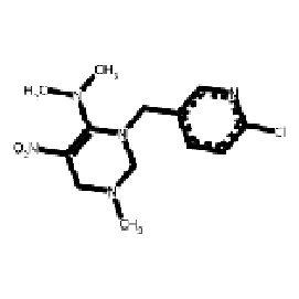 CN1CC([N+](=O)[O-])=C(N(C)C)N(Cc2ccc(Cl)nc2)C1